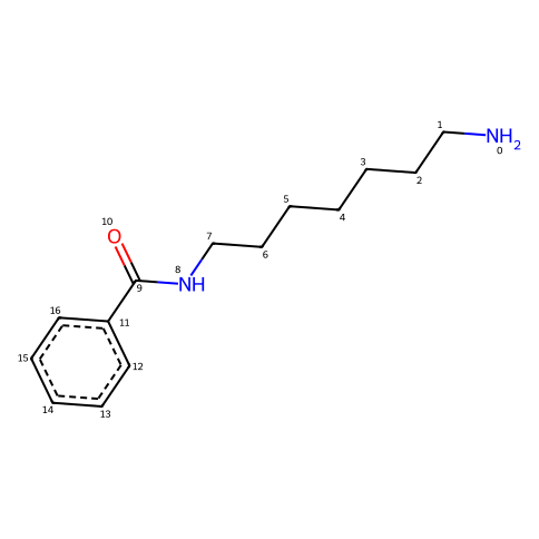 NCCCCCCCNC(=O)c1ccccc1